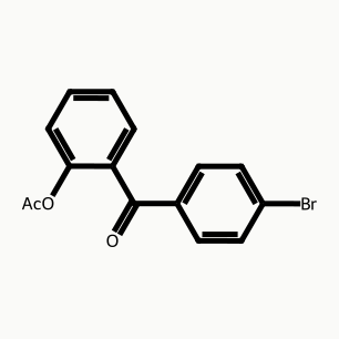 CC(=O)Oc1ccccc1C(=O)c1ccc(Br)cc1